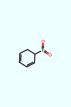 [O]=[Ti](=[O])[CH]1C=CC=CC1